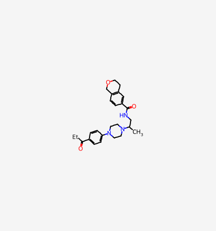 CCC(=O)c1ccc(N2CCN(C(C)CNC(=O)c3ccc4c(c3)CCOC4)CC2)cc1